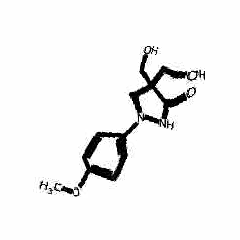 COc1ccc(N2CC(CO)(CO)C(=O)N2)cc1